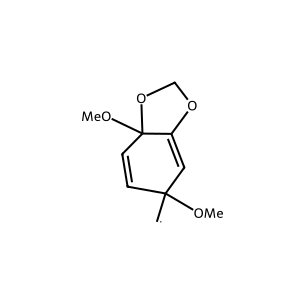 [CH2]C1(OC)C=CC2(OC)OCOC2=C1